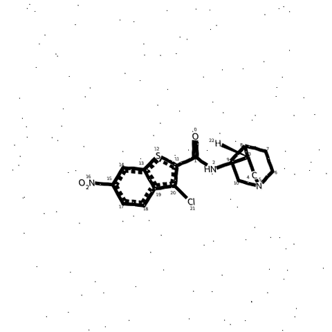 O=C(N[C@H]1CN2CCC1CC2)c1sc2cc([N+](=O)[O-])ccc2c1Cl